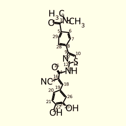 CN(C)C(=O)c1ccc(-c2csc(NC(=O)C(C#N)=Cc3ccc(O)c(O)c3)n2)cc1